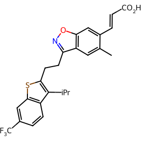 Cc1cc2c(CCc3sc4cc(C(F)(F)F)ccc4c3C(C)C)noc2cc1C=CC(=O)O